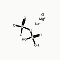 O=P([O-])([O-])OP(=O)(O)O.[Cl-].[Mg+2].[Na+]